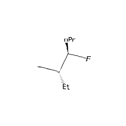 CCC[C@@H](F)[C@@H](C)CC